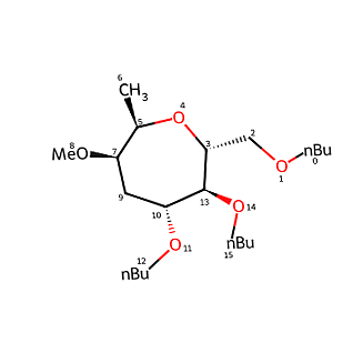 CCCCOC[C@H]1O[C@H](C)[C@H](OC)C[C@@H](OCCCC)[C@@H]1OCCCC